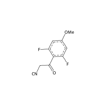 [C-]#[N+]CC(=O)c1c(F)cc(OC)cc1F